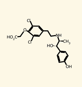 C[C@H](NCCc1cc(Cl)c(OCC(=O)O)c(Cl)c1)[C@@H](O)c1ccc(O)cc1